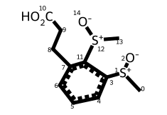 C[S+]([O-])c1cccc(CCC(=O)O)c1[S+](C)[O-]